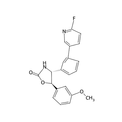 COc1cccc([C@H]2OC(=O)N[C@@H]2c2cccc(-c3ccc(F)nc3)c2)c1